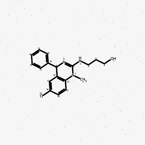 CN1C(NCCCO)=NC(c2ccccc2)c2cc(Cl)ccc21